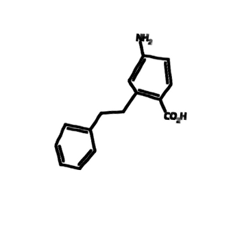 Nc1ccc(C(=O)O)c(CCc2ccccc2)c1